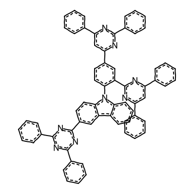 c1ccc(-c2cc(-c3ccc(-n4c5ccccc5c5cc(-c6nc(-c7ccccc7)nc(-c7ccccc7)n6)ccc54)c(-c4nc(-c5ccccc5)cc(-c5ccccc5)n4)c3)nc(-c3ccccc3)n2)cc1